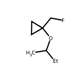 CCC(C)OC1(CF)CC1